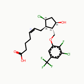 O=C(O)CCC/C=C\C[C@@H]1[C@@H](COc2cc(C(F)(F)F)cc(Cl)c2F)[C@H](O)C[C@@H]1Cl